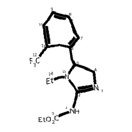 CCOC(=O)NC1=NCC(c2ccccc2C(F)(F)F)N1CC